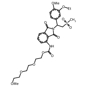 CCOc1cc(C(CS(C)(=O)=O)N2C(=O)c3cccc(NC(=O)OCCOCCOCCOC)c3C2=O)ccc1OC